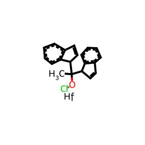 CC(OCl)(C1C=Cc2ccccc21)C1C=Cc2ccccc21.[Hf]